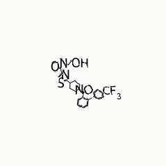 CN(CCO)C(=O)c1csc(C2CCN(C(=O)c3ccccc3-c3ccc(C(F)(F)F)cc3)CC2)n1